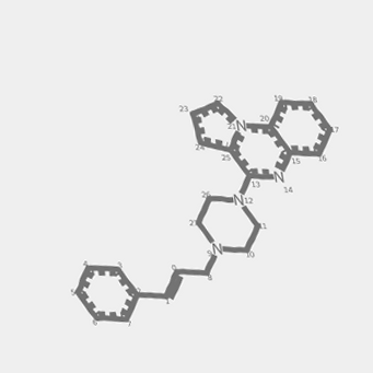 C(=Cc1ccccc1)CN1CCN(c2nc3ccccc3n3cccc23)CC1